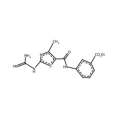 CCOC(=O)c1cccc(NC(=O)c2sc(NC(=N)N)nc2C)c1